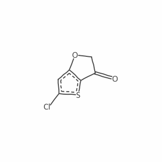 O=C1COc2cc(Cl)sc21